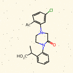 CC(=O)c1ccc(Cl)cc1N1CCN(c2ccccc2C(C)C(=O)O)C(=O)C1